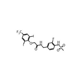 CS(=O)(=O)Nc1ccc(CNC(=O)COc2c(I)cc(C(F)(F)F)cc2I)cc1F